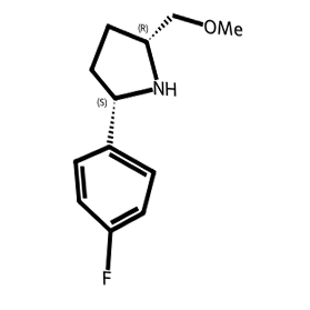 COC[C@H]1CC[C@@H](c2ccc(F)cc2)N1